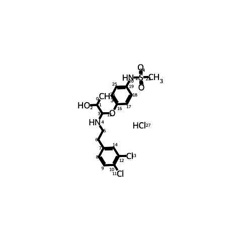 CC(O)C(NCCc1ccc(Cl)c(Cl)c1)Oc1ccc(NS(C)(=O)=O)cc1.Cl